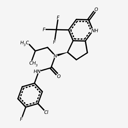 CC(C)CN(C(=O)Nc1ccc(F)c(Cl)c1)[C@@H]1CCc2[nH]c(=O)cc(C(F)(F)F)c21